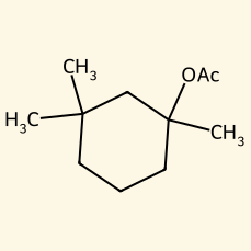 CC(=O)OC1(C)CCCC(C)(C)C1